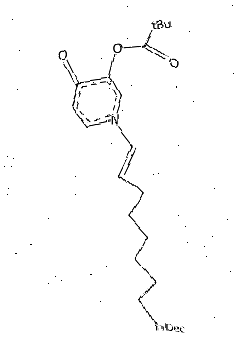 CCCCCCCCCCCCCCCCC=Cn1ccc(=O)c(OC(=O)C(C)(C)C)c1